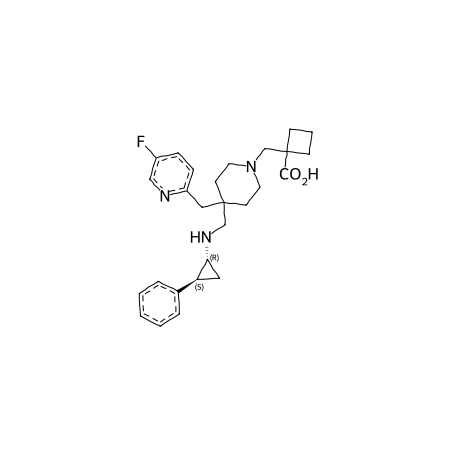 O=C(O)C1(CN2CCC(CN[C@@H]3C[C@H]3c3ccccc3)(Cc3ccc(F)cn3)CC2)CCC1